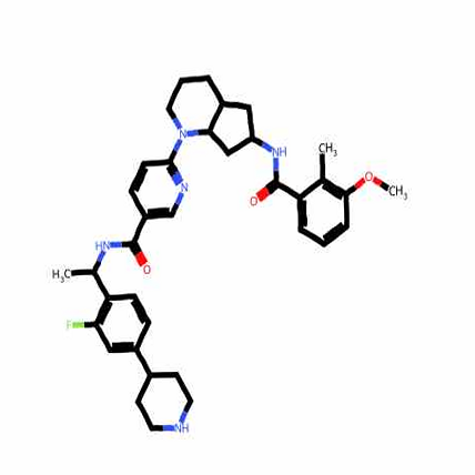 COc1cccc(C(=O)NC2CC3CCCN(c4ccc(C(=O)NC(C)c5ccc(C6CCNCC6)cc5F)cn4)C3C2)c1C